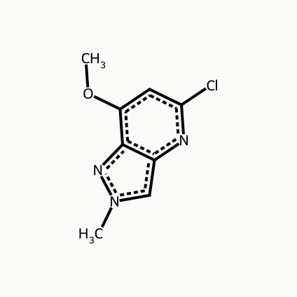 COc1cc(Cl)nc2cn(C)nc12